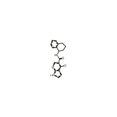 O=C(NC1CCCc2ccccc21)c1cnc2[nH]ccc2c1Cl